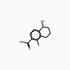 O=C(O)c1ccc2c(c1F)CCCC2O